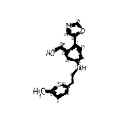 Cc1ccc(CCNc2ccc(-c3cnco3)c(CO)c2)s1